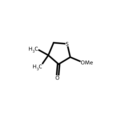 COC1SCC(C)(C)C1=O